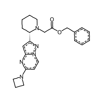 O=C(CN1CCCC[C@H]1c1cc2nc(N3CCC3)ccn2n1)OCc1ccccc1